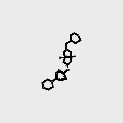 c1cc(N2CCOCC2)nnc1N[C@@H]1C[C@@H]2CN(CC3CCOCC3)C[C@@H]2C1